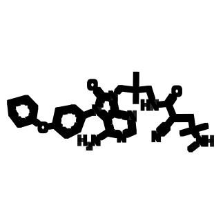 CNC(C)(C)C=C(C#N)C(=O)NCC(C)(C)Cn1c(=O)n(-c2ccc(Oc3ccccc3)cc2)c2c(N)ncnc21